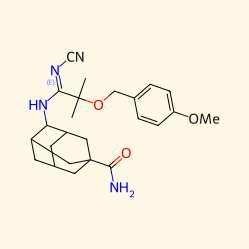 COc1ccc(COC(C)(C)/C(=N\C#N)NC2C3CC4CC2CC(C(N)=O)(C4)C3)cc1